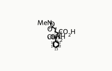 CNOC(=O)CC[C@H](NC(=O)c1ccccc1)C(=O)O.[CaH2]